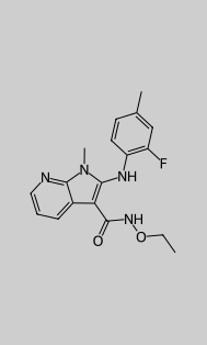 CCONC(=O)c1c(Nc2ccc(C)cc2F)n(C)c2ncccc12